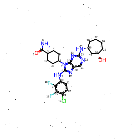 NC(=O)C1CCC(n2c(Nc3ccc(Cl)c(F)c3F)nc3cnc(N[C@@H]4CCCC[C@H](O)C4)nc32)CC1